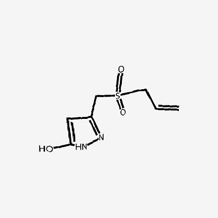 C=CCS(=O)(=O)Cc1cc(O)[nH]n1